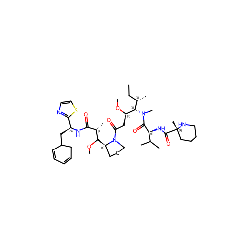 CC[C@H](C)[C@@H]([C@@H](CC(=O)N1CCC[C@H]1C(OC)[C@@H](C)C(=O)N[C@@H](CC1C=CC=CC1)c1nccs1)OC)N(C)C(=O)[C@@H](NC(=O)[C@@]1(C)CCCCN1)C(C)C